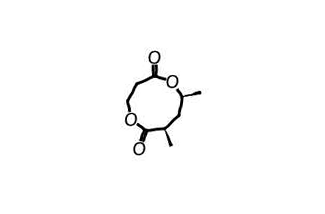 C[C@@H]1C[C@H](C)OC(=O)CCOC1=O